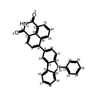 O=C1NC(=O)c2ccc(-c3ccc4c(c3)c3ccccc3n4-c3ccccc3)c3cccc1c23